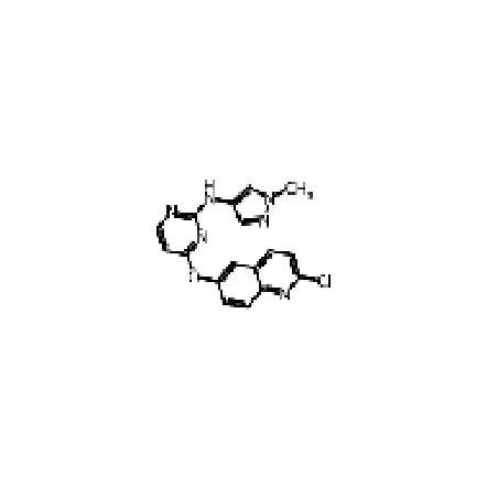 Cn1cc(Nc2nccc(Oc3ccc4nc(Cl)ccc4c3)n2)cn1